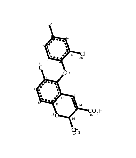 Cc1ccc(Oc2c(Cl)ccc3c2C=C(C(=O)O)C(C(F)(F)F)O3)c(Cl)c1